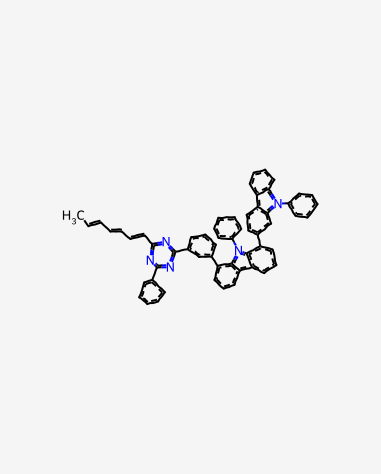 CC=CC=CC=Cc1nc(-c2ccccc2)nc(-c2cccc(-c3cccc4c5cccc(-c6ccc7c8ccccc8n(-c8ccccc8)c7c6)c5n(-c5ccccc5)c34)c2)n1